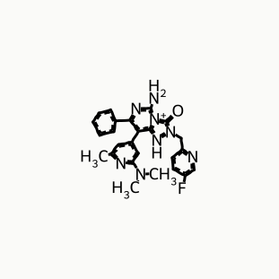 Cc1cc(-c2c(-c3ccccc3)nc(N)[n+]3c(=O)n(Cc4ccc(F)cn4)[nH]c23)cc(N(C)C)n1